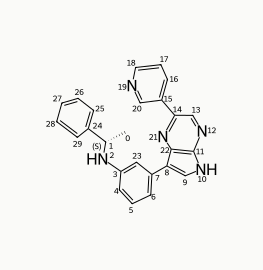 C[C@H](Nc1cccc(-c2c[nH]c3ncc(-c4cccnc4)nc23)c1)c1ccccc1